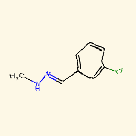 CN/N=C/c1cccc(Cl)c1